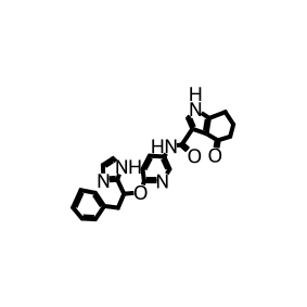 O=C(Nc1ccc(OC(Cc2ccccc2)c2ncc[nH]2)nc1)c1c[nH]c2c1C(=O)CCC2